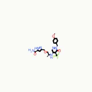 COc1ccc(Cn2ncc(N[C@@H](C)COCc3cc(C(N)=O)[nH]n3)c(C(F)(F)F)c2=O)cc1